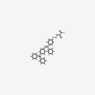 C=C(C)C(=O)OCCc1ccc(C(=Cc2ccc(N(c3ccccc3)c3ccccc3)cc2)c2ccccc2)cc1